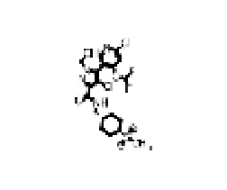 CCn1nc(C(=O)NC[C@H]2CC[C@H](S(C)(=O)=O)CC2)c(Cl)c1-c1cnc(Cl)cc1OC(F)F